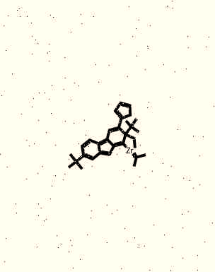 CCC1(C(C)(C)C)C(C2=CC=CC2)=CC2=c3ccc(C(C)(C)C)cc3=CC2=[C]1[Zr]=[C](C)C